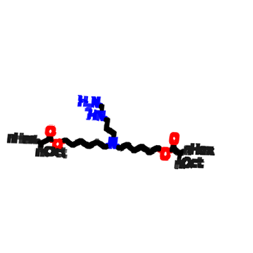 CCCCCCCCC(CCCCCC)C(=O)OCCCCCCN(CCCCCCOC(=O)C(CCCCCC)CCCCCCCC)CCCNCN